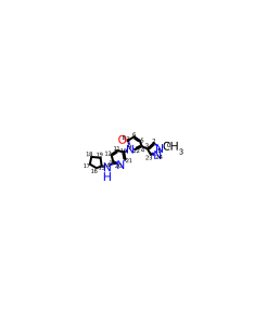 Cn1cc(-c2ccc(=O)n(-c3ccc(NC4CCCC4)nc3)c2)cn1